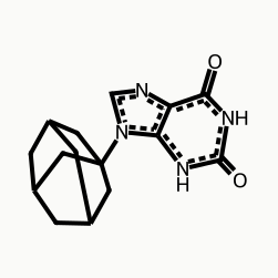 O=c1[nH]c(=O)c2ncn(C34CC5CC(CC(C5)C3)C4)c2[nH]1